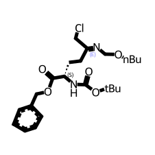 CCCCOC/N=C(/CCl)CC[C@H](NC(=O)OC(C)(C)C)C(=O)OCc1ccccc1